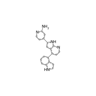 Nc1cc(-c2cc3c(-c4cccc5[nH]ccc45)ccnc3[nH]2)ccn1